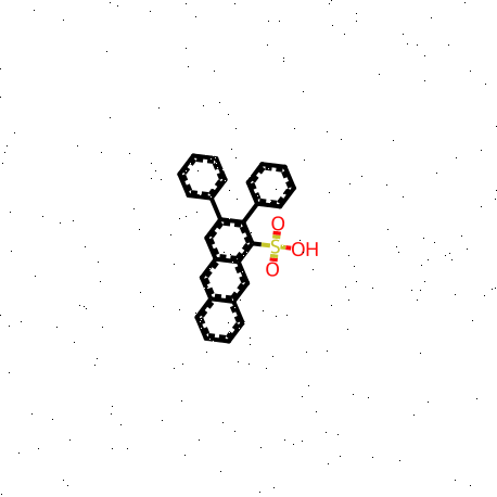 O=S(=O)(O)c1c(-c2ccccc2)c(-c2ccccc2)cc2cc3ccccc3cc12